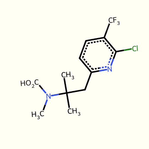 CN(C(=O)O)C(C)(C)Cc1ccc(C(F)(F)F)c(Cl)n1